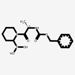 C[C@H](NC(=O)OCc1ccccc1)C(=O)N1CCCCC1P(O)O